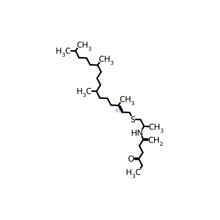 C=C(CCC(=O)CC)NC(C)CSC/C=C(\C)CCCC(C)CCCC(C)CCCC(C)C